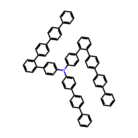 c1ccc(-c2ccc(-c3ccc(-c4ccccc4-c4ccc(N(c5ccc(-c6ccc(-c7ccccc7)cc6)cc5)c5ccc(-c6ccccc6-c6ccc(-c7ccc(-c8ccccc8)cc7)cc6)cc5)cc4)cc3)cc2)cc1